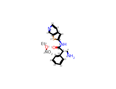 CCO[N+](=O)[O-].NC[C@@H](C(=O)Nc1cc2ccncc2s1)c1ccccc1